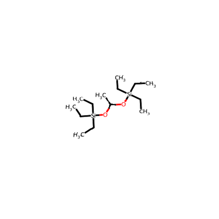 CC[Si](CC)(CC)OC(C)O[Si](CC)(CC)CC